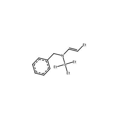 CCC=CN(Cc1ccccc1)[Si](CC)(CC)CC